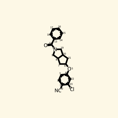 N#Cc1ccc(OC2CC3CN(C(=O)c4ccccc4)CC3C2)cc1Cl